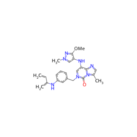 C=CC(=C)Nc1cccc(Cn2cc(Nc3cn(C)nc3OC)c3ncc(C)n3c2=O)c1